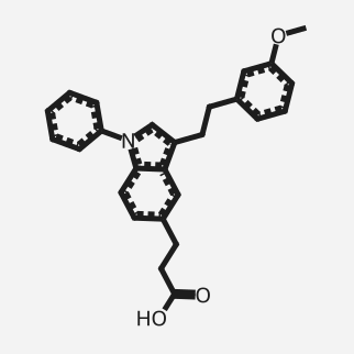 COc1cccc(CCc2cn(-c3ccccc3)c3ccc(CCC(=O)O)cc23)c1